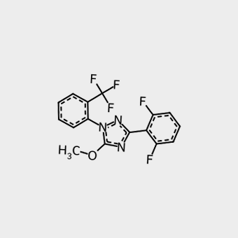 COc1nc(-c2c(F)cccc2F)nn1-c1ccccc1C(F)(F)F